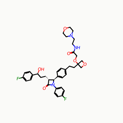 O=C(COC1(CCc2ccc([C@@H]3[C@@H](CC[C@H](O)c4ccc(F)cc4)C(=O)N3c3ccc(F)cc3)cc2)COC1)NCCN1CCOCC1